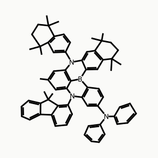 Cc1cc2c3c(c1)N(c1cccc4c1C(C)(C)c1ccccc1-4)c1cc(N(c4ccccc4)c4ccccc4)ccc1B3c1cc3c(cc1N2c1ccc2c(c1)C(C)(C)CCC2(C)C)C(C)(C)CCC3(C)C